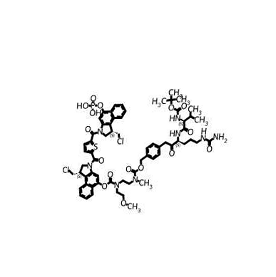 COCCN(CCN(C)C(=O)OCc1ccc(CC(=O)[C@H](CCCNC(N)=O)NC(=O)[C@@H](NC(=O)OC(C)(C)C)C(C)C)cc1)C(=O)Oc1cc2c(c3ccccc13)[C@H](CCl)CN2C(=O)c1ccc(C(=O)N2C[C@@H](CCl)c3c2cc(OP(=O)(O)O)c2ccccc32)s1